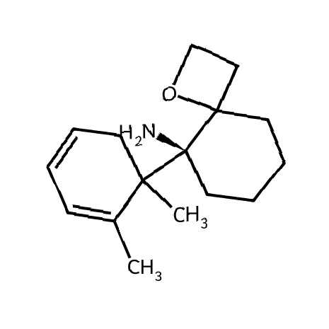 CC1=CC=CCC1(C)[C@@]1(N)CCCCC12CCO2